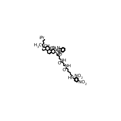 CC(C)CCC[C@@H](C)[C@H]1CCC2C3CC=C4C[C@@H](N(CCCNC(=O)CCNC(=O)CCCCCNc5ccc([N+](=O)[O-])cc5[N+](=O)[O-])S(=O)(=O)c5ccccc5[N+](=O)[O-])CC[C@]4(C)C3CC[C@@]21C